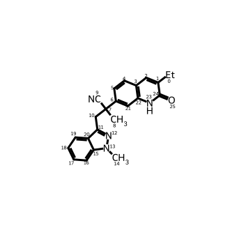 CCc1cc2ccc(C(C)(C#N)Cc3nn(C)c4ccccc34)cc2[nH]c1=O